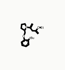 C=C(CC(=C)N1CCCC1COc1ccccc1C(C)(C)C)OCC